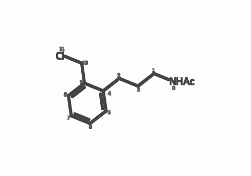 CC(=O)NCCCc1ccccc1CCl